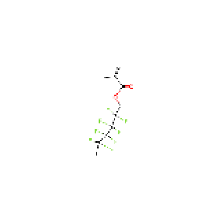 C=C(C)C(=O)OCC(F)(F)C(F)(F)C(F)(F)C(C)(F)F